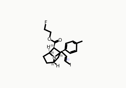 Cc1ccc([C@H]2C[C@@H]3CC[C@@H]([C@H]2C(=O)OCCF)N3C/C=C/I)cc1